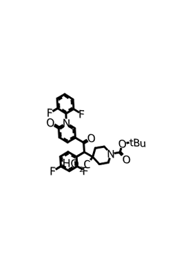 CC(C)(C)OC(=O)N1CCC(C(=O)O)(C(C(=O)c2ccc(=O)n(-c3c(F)cccc3F)c2)c2ccc(F)cc2F)CC1